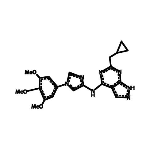 COc1cc(-n2cnc(Nc3nc(CC4CC4)nc4[nH]ncc34)c2)cc(OC)c1OC